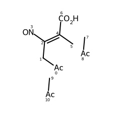 CC(=O)CC(N=O)=C(C)C(=O)O.CC(C)=O.CC(C)=O